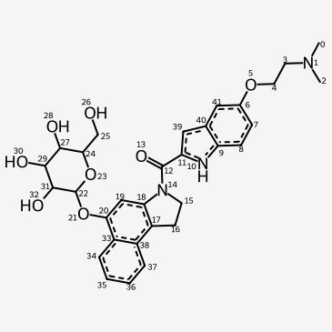 CN(C)CCOc1ccc2[nH]c(C(=O)N3CCc4c3cc(OC3OC(CO)C(O)C(O)C3O)c3ccccc43)cc2c1